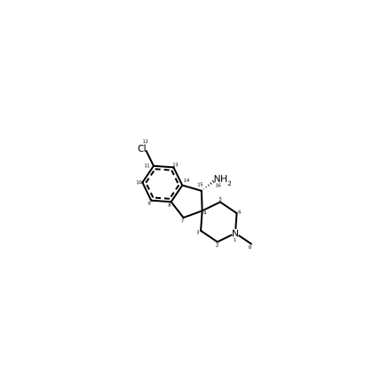 CN1CCC2(CC1)Cc1ccc(Cl)cc1[C@@H]2N